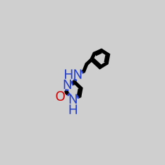 O=c1nc(NCCc2ccccc2)cc[nH]1